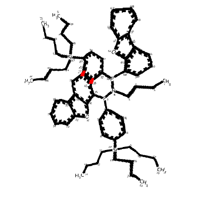 CCCCN(P(c1ccc([Si](CCCC)(CCCC)CCCC)cc1)c1cccc2c1oc1ccccc12)P(c1ccc([Si](CCCC)(CCCC)CCCC)cc1)c1cccc2c1oc1ccccc12